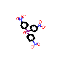 O=[N+]([O-])c1ccc(P(=O)(c2ccc([N+](=O)[O-])cc2)c2ccc([N+](=O)[O-])cc2)cc1